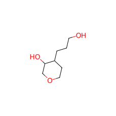 OCCCC1CCOCC1O